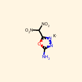 Nc1nnc(C([N+](=O)[O-])[N+](=O)[O-])o1.[K]